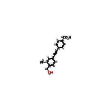 CC(C)c1cc(C#Cc2ccc(C(=O)O)cc2)ccc1CO